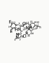 Cn1cc(Cl)c(CNC(Cc2cc(F)cc(F)c2)C(O)CNC2(c3cccc(C(C)(C)C)c3)CCCCC2)n1